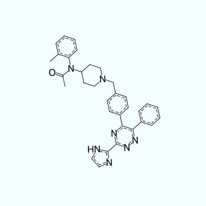 CC(=O)N(c1ccccc1C)C1CCN(Cc2ccc(-c3nc(-c4ncc[nH]4)nnc3-c3ccccc3)cc2)CC1